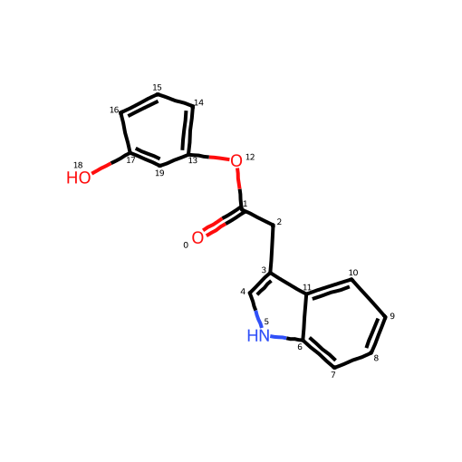 O=C(Cc1c[nH]c2ccccc12)Oc1cccc(O)c1